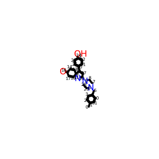 Cc1ccc(CN2CCN(C3=NC4(C=CC(=O)C=C4)C(c4ccc(O)cc4)=C3)CC2)cc1